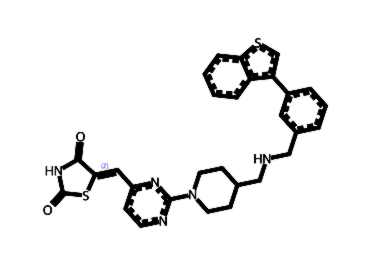 O=C1NC(=O)/C(=C/c2ccnc(N3CCC(CNCc4cccc(-c5csc6ccccc56)c4)CC3)n2)S1